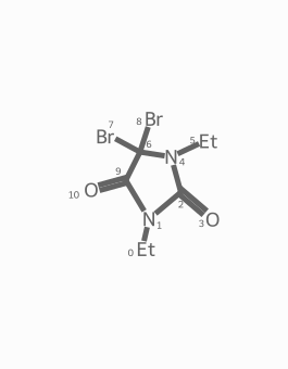 CCN1C(=O)N(CC)C(Br)(Br)C1=O